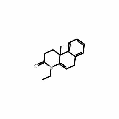 CCN1C(=O)CCC2(C)C1=CCc1ccccc12